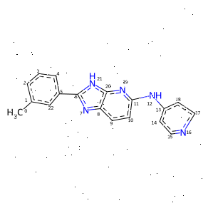 Cc1cccc(-c2nc3ccc(Nc4ccncc4)nc3[nH]2)c1